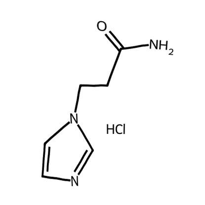 Cl.NC(=O)CCn1ccnc1